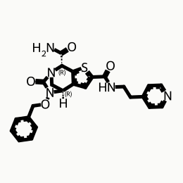 NC(=O)[C@@H]1c2sc(C(=O)NCCc3ccncc3)cc2[C@@H]2CN1C(=O)N2OCc1ccccc1